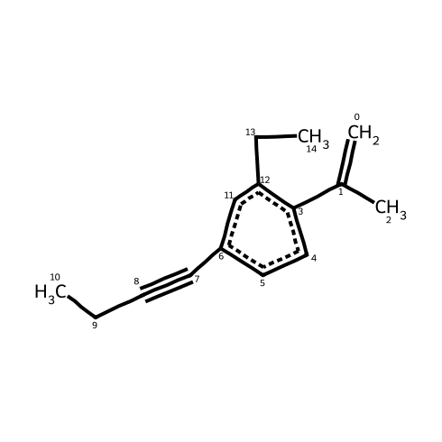 C=C(C)c1ccc(C#CCC)cc1CC